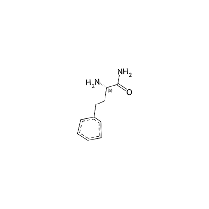 NC(=O)[C@@H](N)CCc1ccccc1